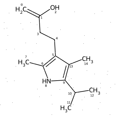 C=C(O)CCc1c(C)[nH]c(C(C)C)c1C